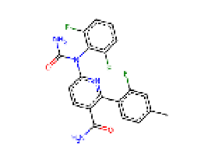 Cc1ccc(-c2nc(N(C(N)=O)c3c(F)cccc3F)ccc2C(N)=O)c(F)c1